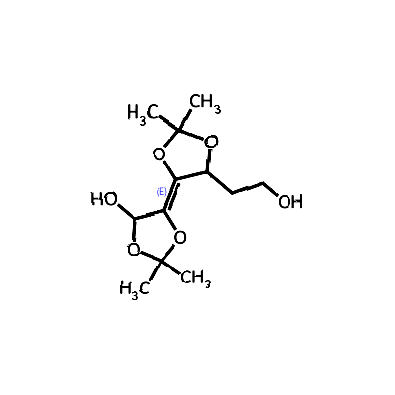 CC1(C)O/C(=C2/OC(C)(C)OC2CCO)C(O)O1